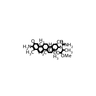 COC(=O)C(C)N(C(N)=O)C1C[C@]2(C)CC[C@]3(C)C4=CC=C5C(=CC(=O)C(N)=C5C)[C@]4(C)CC[C@@]3(C)[C@@H]2C[C@H]1C